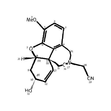 COc1ccc2c3c1O[C@H]1C[C@@H](O)C=C[C@@]31CCN(CC#N)C2